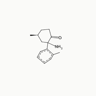 Cc1ccccc1C1(N)C[C@@H](C)CCC1=O